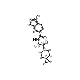 C[C@H](NC(=O)c1ccc2c(cnn2C)c1)C(=O)N1CCC2(CC1)CC2